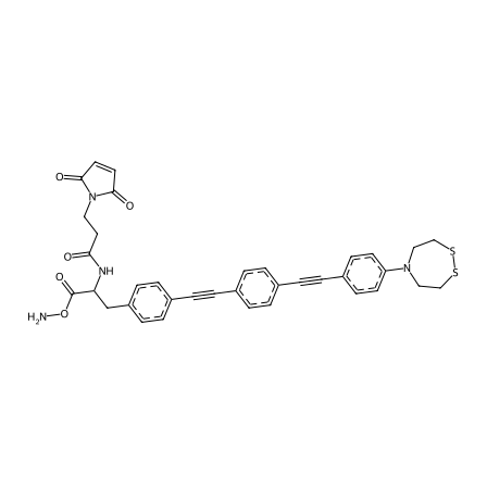 NOC(=O)C(Cc1ccc(C#Cc2ccc(C#Cc3ccc(N4CCSSCC4)cc3)cc2)cc1)NC(=O)CCN1C(=O)C=CC1=O